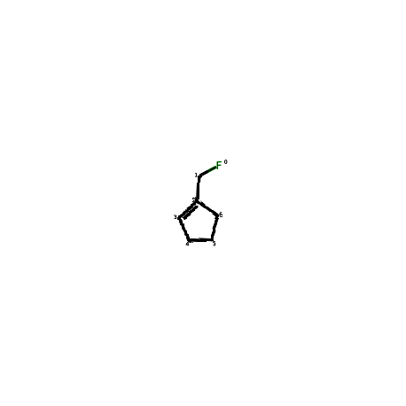 FCC1=CCCC1